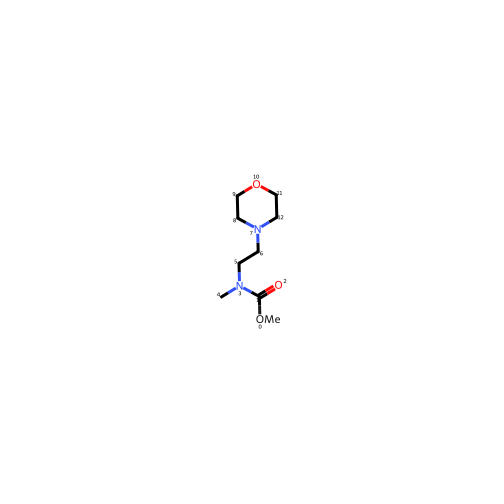 COC(=O)N(C)CCN1CCOCC1